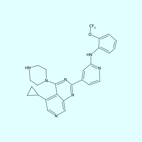 FC(F)(F)Oc1ccccc1Nc1cc(-c2nc(N3CCNCC3)c3c(C4CC4)cncc3n2)ccn1